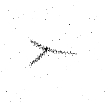 CCCCCCCCCCCCCCCCCn1cc[n+](CCCCCCCCCC)c1CCCCCCCCCCCCC